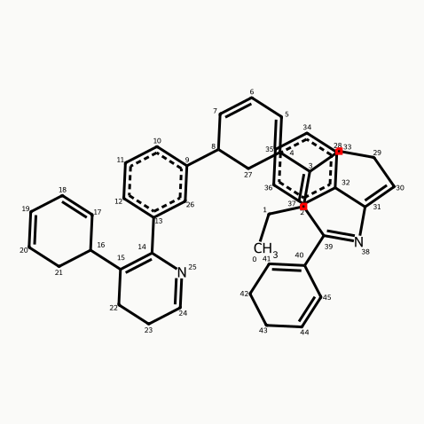 CCC1=C(\C2=CC=CC(c3cccc(C4=C(C5C=CC=CC5)CCC=N4)c3)C2)CC/C=C(c2ccccc2)/N=C\1C1=CCCC=C1